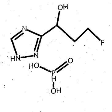 O=[PH](O)O.OC(CCF)c1nc[nH]n1